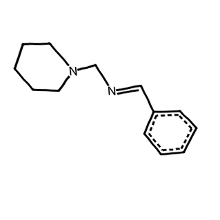 C(=N\CN1CCCCC1)/c1ccccc1